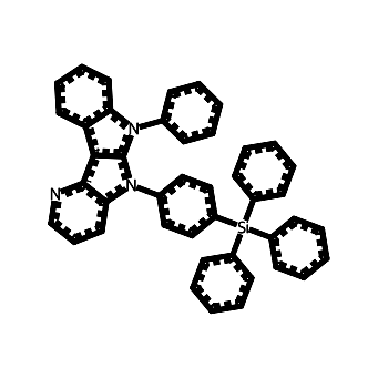 c1ccc(-n2c3ccccc3c3c4ncccc4n(-c4ccc([Si](c5ccccc5)(c5ccccc5)c5ccccc5)cc4)c32)cc1